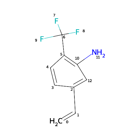 C=Cc1ccc(C(F)(F)F)c(N)c1